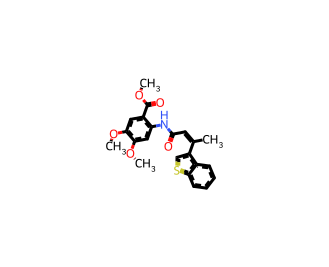 COC(=O)c1cc(OC)c(OC)cc1NC(=O)/C=C(/C)c1csc2ccccc12